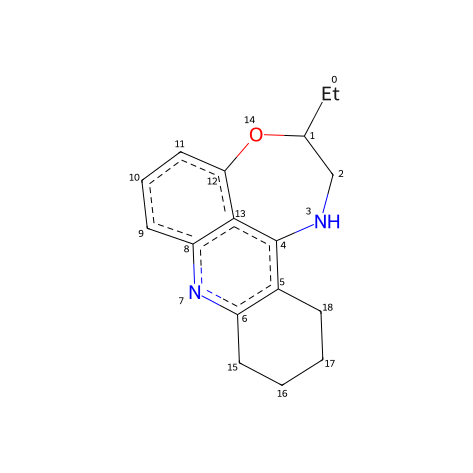 CCC1CNc2c3c(nc4cccc(c24)O1)CCCC3